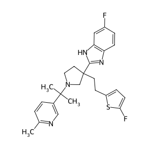 Cc1ccc(C(C)(C)N2CCC(CCc3ccc(F)s3)(c3nc4ccc(F)cc4[nH]3)C2)cn1